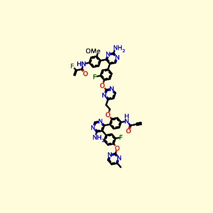 C#CC(=O)Nc1ccc(-c2ncnc(N)c2-c2ccc(Oc3nccc(C)n3)c(F)c2)c(OCCc2ccnc(Oc3ccc(-c4cnc(N)nc4-c4ccc(NC(=O)C(=C)F)cc4OC)cc3F)n2)c1